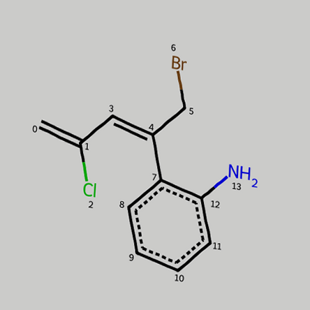 C=C(Cl)/C=C(/CBr)c1ccccc1N